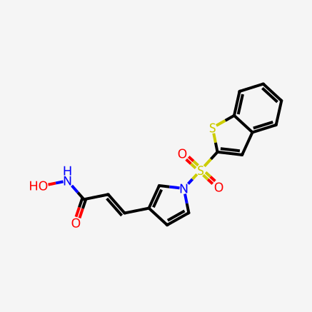 O=C(C=Cc1ccn(S(=O)(=O)c2cc3ccccc3s2)c1)NO